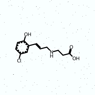 O=C(O)CCNCC=Cc1cc(Cl)ccc1O